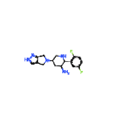 N[C@H]1C[C@@H](N2Cc3c[nH]nc3C2)CNC1c1cc(F)ccc1F